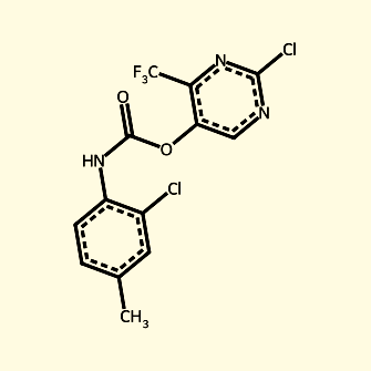 Cc1ccc(NC(=O)Oc2cnc(Cl)nc2C(F)(F)F)c(Cl)c1